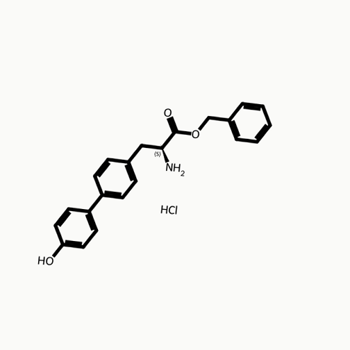 Cl.N[C@@H](Cc1ccc(-c2ccc(O)cc2)cc1)C(=O)OCc1ccccc1